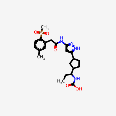 CCC(NC(=O)O)C1CCC(c2cc(NC(=O)Cc3cc(C)ccc3S(C)(=O)=O)n[nH]2)C1